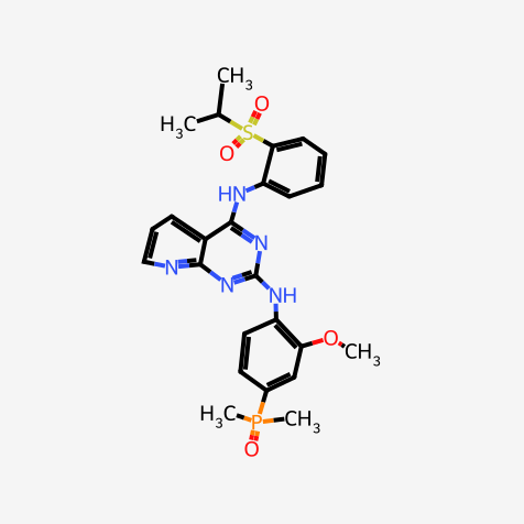 COc1cc(P(C)(C)=O)ccc1Nc1nc(Nc2ccccc2S(=O)(=O)C(C)C)c2cccnc2n1